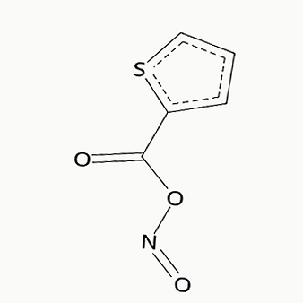 O=NOC(=O)c1cccs1